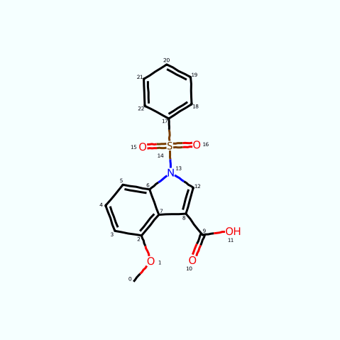 COc1cccc2c1c(C(=O)O)cn2S(=O)(=O)c1ccccc1